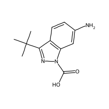 CC(C)(C)c1nn(C(=O)O)c2cc(N)ccc12